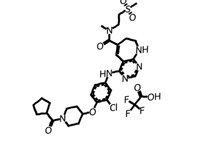 CN(CCS(C)(=O)=O)C(=O)C1=Cc2c(ncnc2Nc2ccc(OC3CCN(C(=O)C4CCCC4)CC3)c(Cl)c2)NCC1.O=C(O)C(F)(F)F